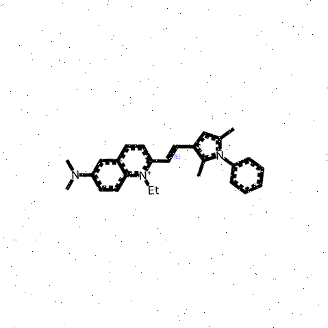 CC[n+]1c(/C=C/c2cc(C)n(-c3ccccc3)c2C)ccc2cc(N(C)C)ccc21